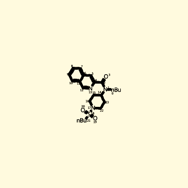 CCCCN(C(=O)c1cc2ccccc2cn1)C1CCN(S(=O)(=O)CCCC)CC1